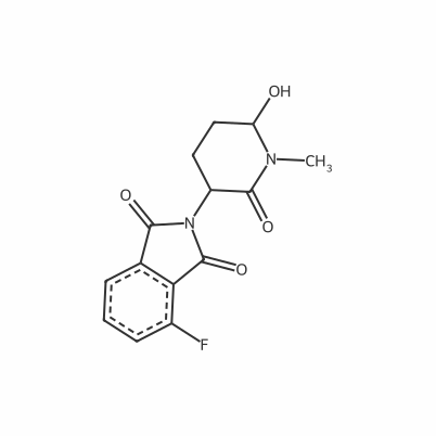 CN1C(=O)C(N2C(=O)c3cccc(F)c3C2=O)CCC1O